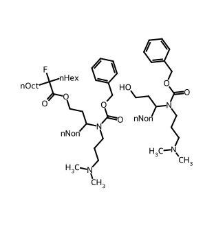 CCCCCCCCCC(CCO)N(CCCN(C)C)C(=O)OCc1ccccc1.CCCCCCCCCC(CCOC(=O)C(F)(CCCCCC)CCCCCCCC)N(CCCN(C)C)C(=O)OCc1ccccc1